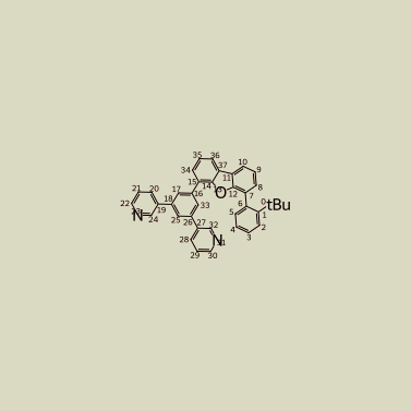 CC(C)(C)c1ccccc1-c1cccc2c1oc1c(-c3cc(-c4cccnc4)cc(-c4cccnc4)c3)cccc12